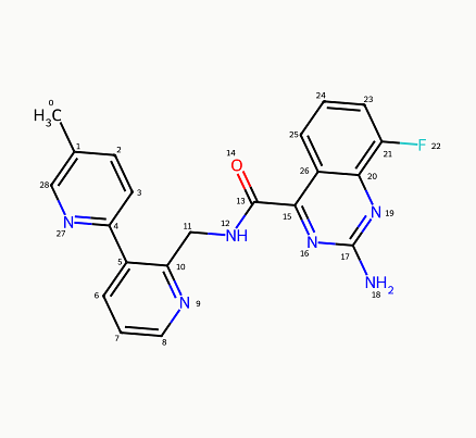 Cc1ccc(-c2cccnc2CNC(=O)c2nc(N)nc3c(F)cccc23)nc1